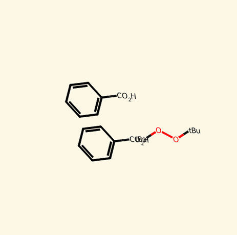 CC(C)(C)OOC(C)(C)C.O=C(O)c1ccccc1.O=C(O)c1ccccc1